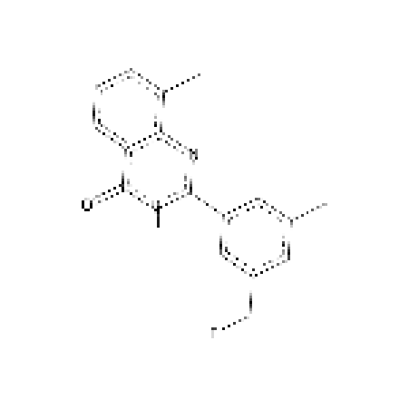 Cc1cc(CF)cc(-c2nc3c(C)cccc3c(=O)[nH]2)c1